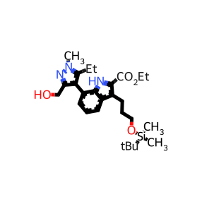 CCOC(=O)c1[nH]c2c(-c3c(CO)nn(C)c3CC)cccc2c1CCCO[Si](C)(C)C(C)(C)C